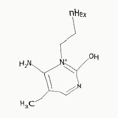 CCCCCCCC[n+]1c(O)ncc(C)c1N